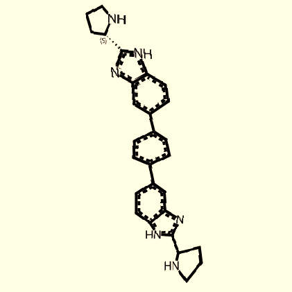 c1cc(-c2ccc3[nH]c([C@@H]4CCCN4)nc3c2)ccc1-c1ccc2[nH]c(C3CCCN3)nc2c1